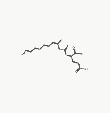 CCCCCCCCC(C)CC(=O)NC(CCC(=O)O)C(=O)O